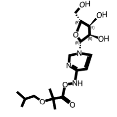 CC(C)COC(C)(C)C(=O)ONC1=NCN([C@@H]2O[C@H](CO)[C@@H](O)[C@H]2O)C=C1